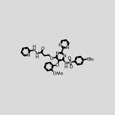 COc1ccccc1Oc1c(NS(=O)(=O)c2ccc(C(C)(C)C)cc2)nc(-c2ncccn2)nc1OCCC(=O)NNc1ccccn1